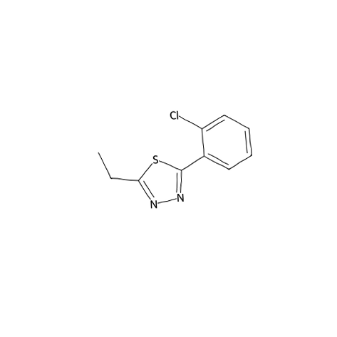 CCc1nnc(-c2ccccc2Cl)s1